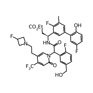 CCOC(=O)C[C@H](NC(=O)C(c1cc(CO)ccc1F)n1cc(CCN2CC(F)C2)c(C(F)(F)F)cc1=O)c1cc(-c2cc(F)ccc2O)cc(C)c1F